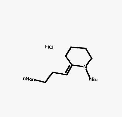 CCCCCCCCCCCC=C1CCCCN1CCCC.Cl